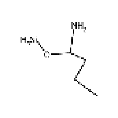 CCCC(N)O[SiH3]